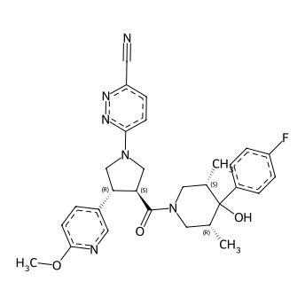 COc1ccc([C@@H]2CN(c3ccc(C#N)nn3)C[C@H]2C(=O)N2C[C@@H](C)C(O)(c3ccc(F)cc3)[C@@H](C)C2)cn1